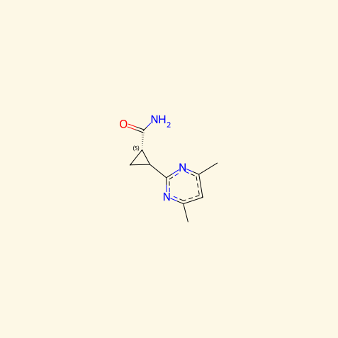 Cc1cc(C)nc(C2C[C@@H]2C(N)=O)n1